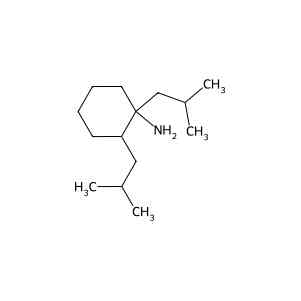 CC(C)CC1CCCCC1(N)CC(C)C